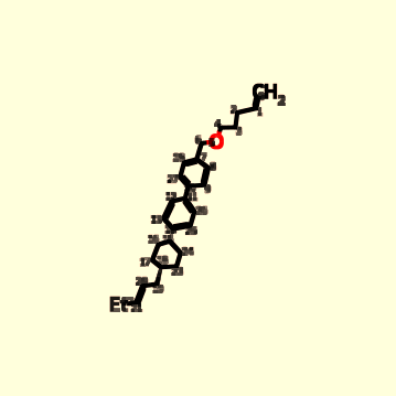 C=CCCCOCc1ccc(-c2ccc([C@H]3CC[C@H](CC=CCC)CC3)cc2)cc1